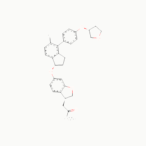 COC(=O)C[C@@H]1COc2cc(O[C@@H]3CCc4c3ccc(C(F)(F)F)c4-c3ccc(O[C@H]4CCOC4)cc3)ccc21